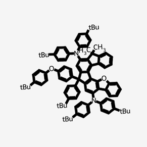 CC(C)(C)c1ccc(Oc2ccc(C3(c4ccc(C(C)(C)C)cc4)c4cc(N(c5ccc(C(C)(C)C)cc5)c5ccc(C(C)(C)C)cc5)c5c(c4-c4c3cc(N(c3ccc(C(C)(C)C)cc3)c3ccc(C(C)(C)C)cc3)c3c4oc4ccccc43)-c3ccccc3C5(C)C)cc2)cc1